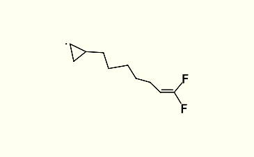 FC(F)=CCCCCCC1[CH]C1